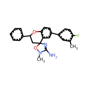 Cc1cc(-c2ccc3c(c2)C2(CC(c4ccccc4)O3)N=C(N)N(C)O2)ccc1F